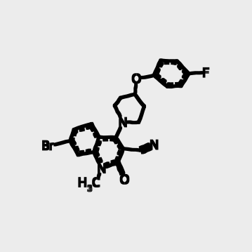 Cn1c(=O)c(C#N)c(N2CCC(Oc3ccc(F)cc3)CC2)c2ccc(Br)cc21